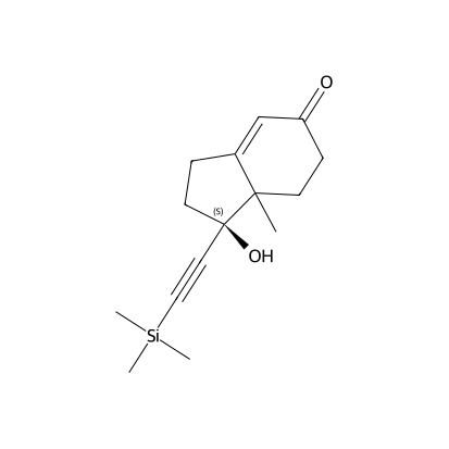 CC12CCC(=O)C=C1CC[C@@]2(O)C#C[Si](C)(C)C